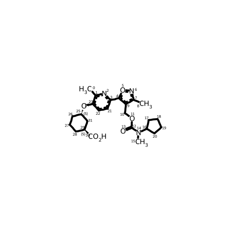 Cc1nc(-c2onc(C)c2COC(=O)N(C)C2CCCC2)ccc1O[C@H]1CCC[C@H](C(=O)O)C1